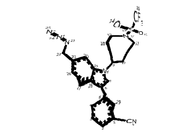 N#Cc1cccc(-c2cn(C3CCN(S(=O)(=O)C(F)(F)F)CC3)c3cc(CN=[N+]=[N-])ccc23)c1